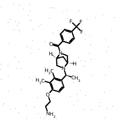 Cc1c(OCCN)ccc([C@H](C)N2C[C@@H]3C[C@H]2CN3C(=O)c2ccc(C(F)(F)F)cc2)c1C